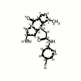 Cn1ncc2c(=O)n3nc(C(C)(C)C)cc3n(CC(=O)Nc3ccc(F)cn3)c21